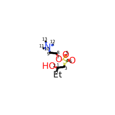 CCC(O)CS(=O)(=O)OCC[N+](C)(C)C